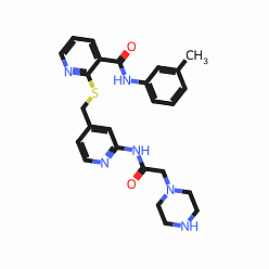 Cc1cccc(NC(=O)c2cccnc2SCc2ccnc(NC(=O)CN3CCNCC3)c2)c1